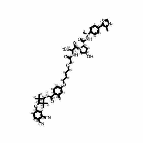 Cc1ncsc1-c1ccc(N(C)NC(=O)[C@@H]2C[C@@H](O)CN2C(=O)C(NC(=O)COCCCCOc2ccc(C(=O)NC3C(C)(C)C(Oc4ccc(C#N)c(C#N)c4)C3(C)C)c(F)c2)C(C)(C)C)cc1